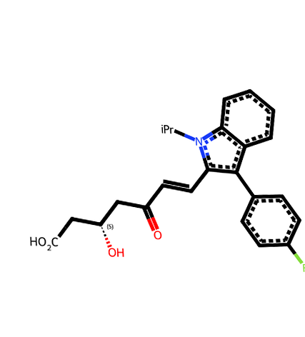 CC(C)n1c(C=CC(=O)C[C@H](O)CC(=O)O)c(-c2ccc(F)cc2)c2ccccc21